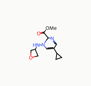 COC(=O)C1N=CC(C2CC2)=CN1NC1COC1